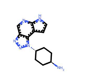 N[C@H]1CC[C@H](n2nnc3cnc4[nH]ccc4c32)CC1